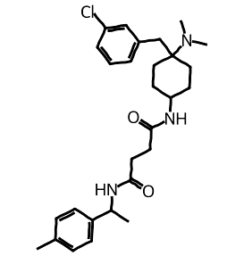 Cc1ccc(C(C)NC(=O)CCC(=O)NC2CCC(Cc3cccc(Cl)c3)(N(C)C)CC2)cc1